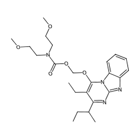 CCc1c(C(C)CC)nc2nc3ccccc3n2c1OCOC(=O)N(CCOC)CCOC